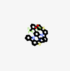 N#Cc1c(-n2c3ccccc3c3ccc4sc5ccccc5c4c32)cc(-c2c(C(F)(F)F)cccc2C(F)(F)F)cc1-n1c2ccccc2c2ccc3sc4ccccc4c3c21